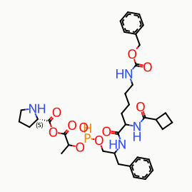 CC(O[PH](=O)OCC(Cc1ccccc1)NC(=O)C(CCCCNC(=O)OCc1ccccc1)NC(=O)C1CCC1)C(=O)OC(=O)[C@@H]1CCCN1